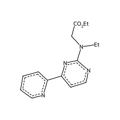 CCOC(=O)CN(CC)c1nccc(-c2ccccn2)n1